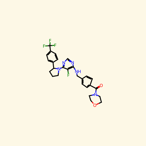 O=C(c1ccc(CNc2ncnc(N3CCCC3c3ccc(C(F)(F)F)cc3)c2F)cc1)N1CCOCC1